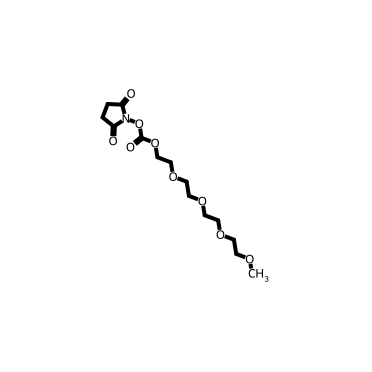 COCCOCCOCCOCCOC(=O)ON1C(=O)CCC1=O